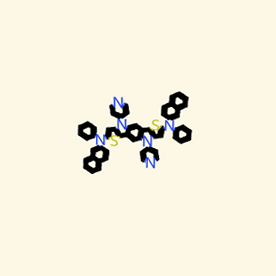 c1ccc(N(c2ccc3ccccc3c2)c2cc3c(s2)c2cc4c(cc2n3-c2ccncc2)c2sc(N(c3ccccc3)c3ccc5ccccc5c3)cc2n4-c2ccncc2)cc1